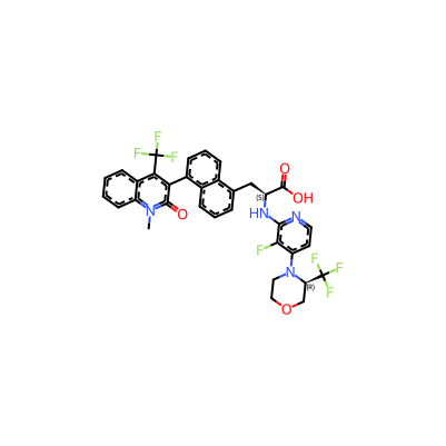 Cn1c(=O)c(-c2cccc3c(C[C@H](Nc4nccc(N5CCOC[C@@H]5C(F)(F)F)c4F)C(=O)O)cccc23)c(C(F)(F)F)c2ccccc21